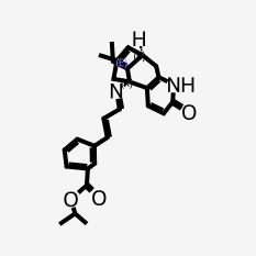 C/C=C1\[C@H]2C=C(C)C[C@]1(N=CC=Cc1cccc(C(=O)OC(C)C)c1)c1ccc(=O)[nH]c1C2